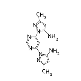 Cc1cc(N)n(-c2cc(-n3nc(C)cc3N)ncn2)n1